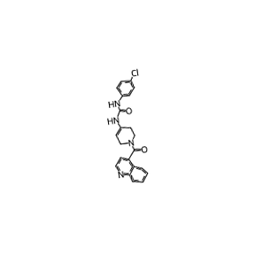 O=C(NC1=CCN(C(=O)c2ccnc3ccccc23)CC1)Nc1ccc(Cl)cc1